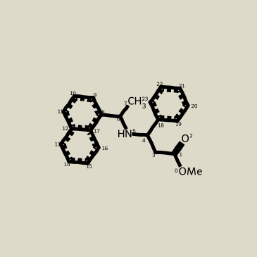 COC(=O)CC(NC(C)c1cccc2ccccc12)c1ccccc1